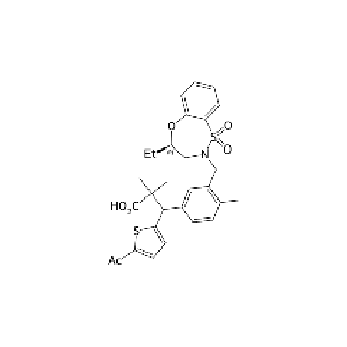 CC[C@@H]1CN(Cc2cc(C(c3ccc(C(C)=O)s3)C(C)(C)C(=O)O)ccc2C)S(=O)(=O)c2ccccc2O1